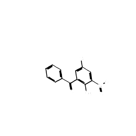 Cc1c(C(=O)c2ccccc2)cc(Cl)cc1[N+](=O)[O-]